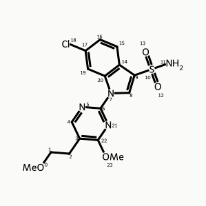 COCCc1cnc(-n2cc(S(N)(=O)=O)c3ccc(Cl)cc32)nc1OC